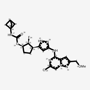 COCc1cc2c(Nc3cc([C@H]4CC[C@@H](OC(=O)NC56CC(C5)C6)[C@H]4F)[nH]n3)nc(Cl)cn2n1